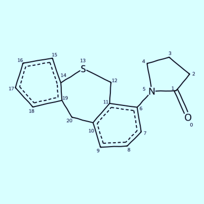 O=C1CCCN1c1cccc2c1CSc1ccccc1C2